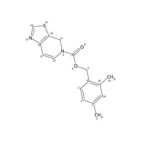 Cc1ccc(COC(=O)N2C=Cc3ncsc3C2)c(C)c1